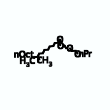 CCCCCCCCC(C)C(C)CCCCCCCC(=O)OCCOCCOCCC